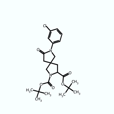 CC(C)(C)OC(=O)C1CC2(CC(=O)N(c3cccc(Cl)c3)C2)CN1C(=O)OC(C)(C)C